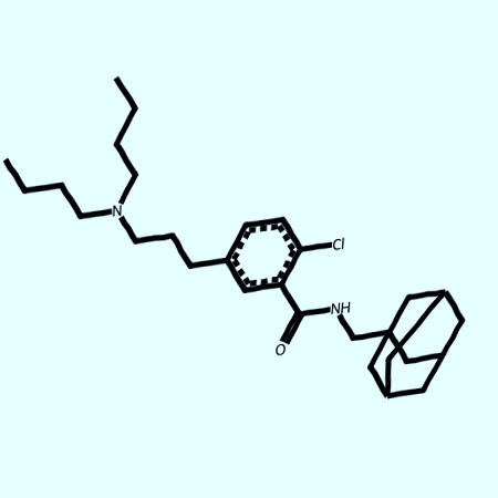 CCCCN(CCCC)CCCc1ccc(Cl)c(C(=O)NCC23CC4CC(CC(C4)C2)C3)c1